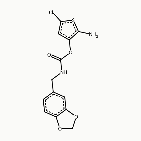 Nc1sc(Cl)cc1OC(=O)NCc1ccc2c(c1)OCO2